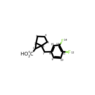 O=C(O)C1C2CCCC21Cc1ccc(F)c(F)c1